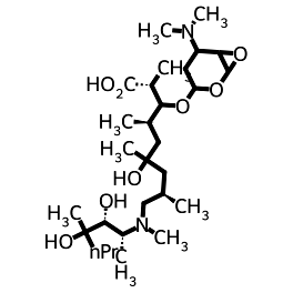 CCCC(C)(O)[C@H](O)[C@@H](C)N(C)C[C@H](C)CC(C)(O)C[C@@H](C)C(OC1CC(N(C)C)C2OC2O1)[C@@H](C)C(=O)O